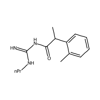 CCCNC(=N)NC(=O)C(C)c1ccccc1C